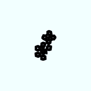 c1ccc(-c2ccccc2-c2nc(-c3cccc(-c4ccc5c(c4)-c4ccccc4C54c5ccccc5-c5ccccc54)c3)nc(-c3ccccc3-c3ccccc3)n2)cc1